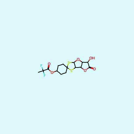 CC(F)(F)C(=O)OC1CCC2(CC1)SC1OC3C(O)C(=O)OC3C1S2